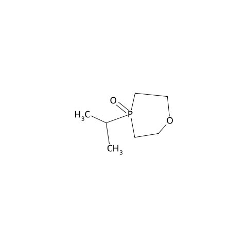 CC(C)P1(=O)CCOCC1